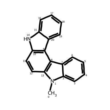 Cn1c2ccccc2c2c3c(ccc21)[nH]c1ccccc13